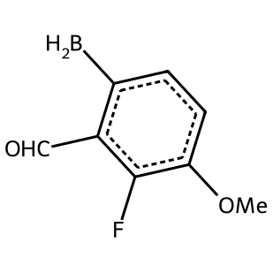 Bc1ccc(OC)c(F)c1C=O